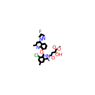 COC(=O)[C@H](O)CC(=O)N[C@@H](C)c1cc(C)cc(Cl)c1COc1cccc2c(-n3cc(F)cn3)cc(C)nc12